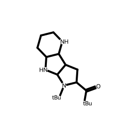 CC(C)(C)C(=O)C1CC2C3NCCCC3NC2N1C(C)(C)C